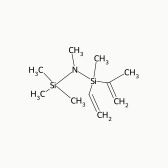 C=C[Si](C)(C(=C)C)N(C)[Si](C)(C)C